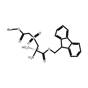 CC(C)(C)OC(=O)CS(=O)(=O)C[C@@](N)(C(=O)O)C(=O)OCC1c2ccccc2-c2ccccc21